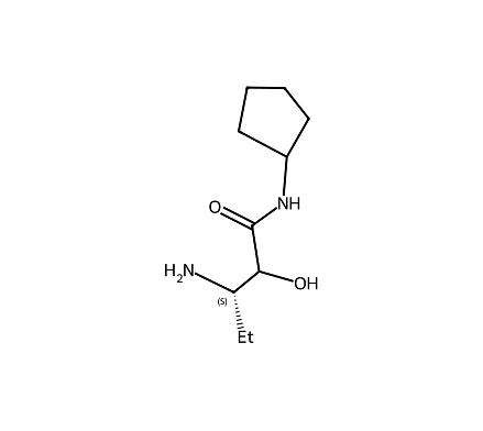 CC[C@H](N)C(O)C(=O)NC1CCCC1